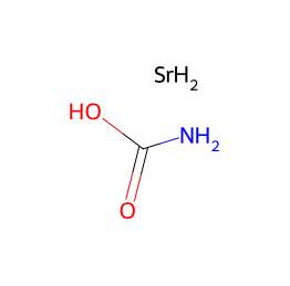 NC(=O)O.[SrH2]